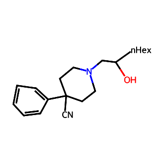 CCCCCCC(O)CN1CCC(C#N)(c2ccccc2)CC1